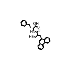 O=C(N[C@H](CCc1ccccc1)C(=O)O)C(CS)Cc1cc2ccccc2c2ccccc12